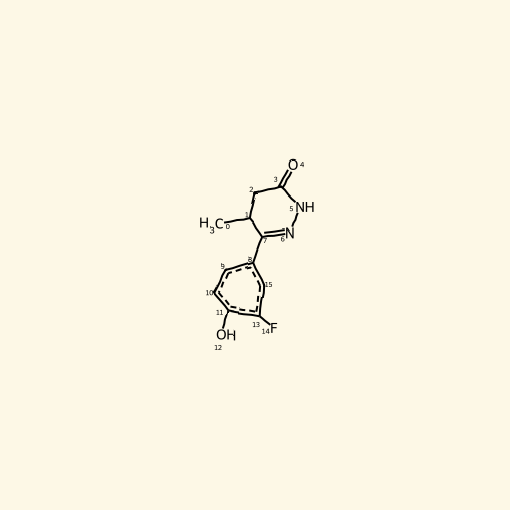 CC1CC(=O)NN=C1c1ccc(O)c(F)c1